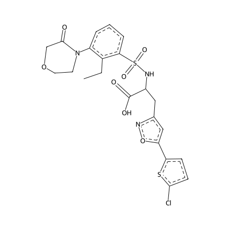 CCc1c(N2CCOCC2=O)cccc1S(=O)(=O)NC(Cc1cc(-c2ccc(Cl)s2)on1)C(=O)O